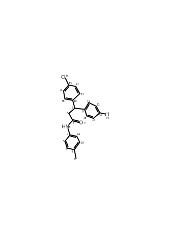 Cc1ccc(NC(=O)CC(c2ccc(Cl)cc2)c2ccc(Cl)cc2)cc1